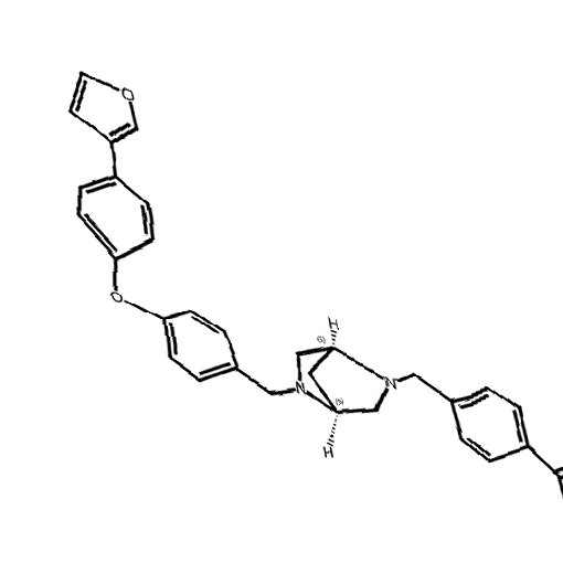 O=C(O)c1ccc(CN2C[C@@H]3C[C@H]2CN3Cc2ccc(Oc3ccc(-c4ccoc4)cc3)cc2)cc1